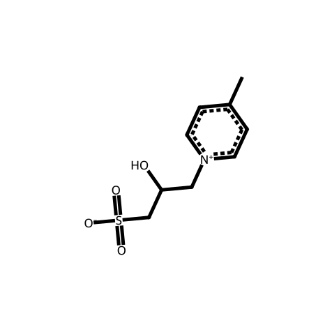 Cc1cc[n+](CC(O)CS(=O)(=O)[O-])cc1